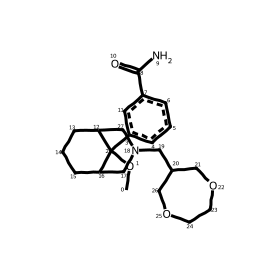 COC1(c2cccc(C(N)=O)c2)C2CCCC1CN(CC1COCCOC1)C2